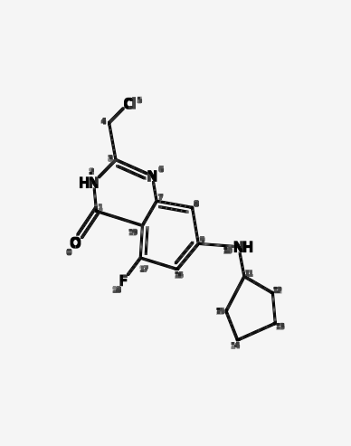 O=c1[nH]c(CCl)nc2cc(NC3CCCC3)cc(F)c12